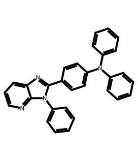 c1ccc(N(c2ccccc2)c2ccc(-c3nc4cccnc4n3-c3ccccc3)cc2)cc1